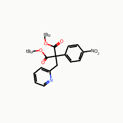 CC(C)(C)OC(=O)C(Cc1ccccn1)(C(=O)OC(C)(C)C)c1ccc([N+](=O)[O-])cc1